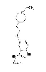 O=C(O)Nc1c[nH]c2ccc(OCCC3CCN(CC(F)(F)F)CC3)cc12